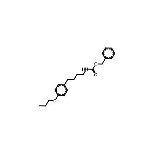 CCCOc1ccc(CCCCNC(=O)OCc2ccccc2)cc1